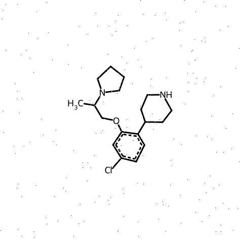 CC(COc1cc(Cl)ccc1C1CCNCC1)N1CCCC1